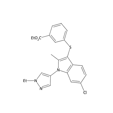 CCOC(=O)c1cccc(Sc2c(C)n(-c3cnn(CC)c3)c3cc(Cl)ccc23)c1